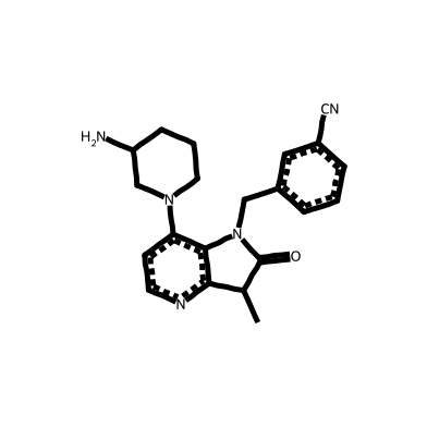 CC1C(=O)N(Cc2cccc(C#N)c2)c2c(N3CCCC(N)C3)ccnc21